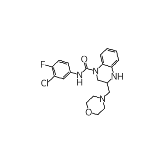 O=C(Nc1ccc(F)c(Cl)c1)N1CC(CN2CCOCC2)Nc2ccccc21